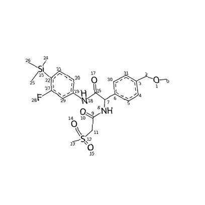 COCc1ccc(C(NC(=O)CS(C)(=O)=O)C(=O)Nc2ccc([Si](C)(C)C)c(F)c2)cc1